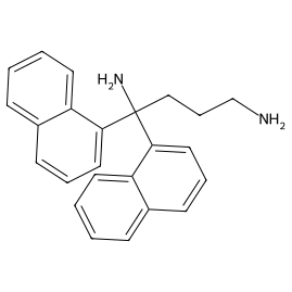 NCCCC(N)(c1cccc2ccccc12)c1cccc2ccccc12